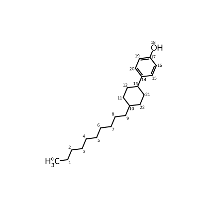 CCCCCCCCCCC1CCC(c2ccc(O)cc2)CC1